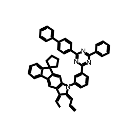 C=C/C=c1\c(=C/C)c2cc3c(cc2n1-c1cccc(-c2nc(-c4ccccc4)nc(-c4ccc(-c5ccccc5)cc4)n2)c1)C1(CCCC1)c1ccccc1-3